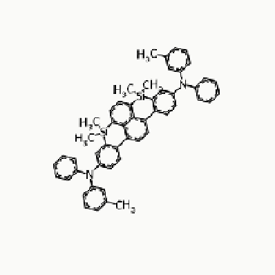 Cc1cccc(N(c2ccccc2)c2ccc3c(c2)[Si](C)(C)c2ccc4c5c(ccc-3c25)-c2ccc(N(c3ccccc3)c3cccc(C)c3)cc2[Si]4(C)C)c1